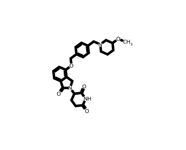 COC1CCCN(Cc2ccc(COc3cccc4c3CN(C3CCC(=O)NC3=O)C4=O)cc2)C1